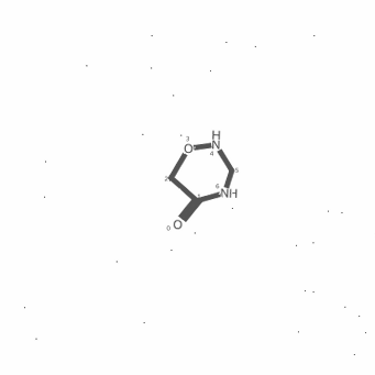 O=C1[C]ONCN1